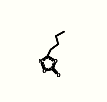 CCCCc1noc(=O)o1